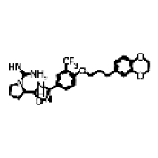 N=C(N)N1CCCC1C1NC(c2ccc(OCCCc3ccc4c(c3)OCCO4)c(C(F)(F)F)c2)=NO1